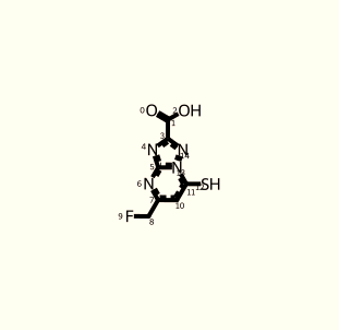 O=C(O)c1nc2nc(CF)cc(S)n2n1